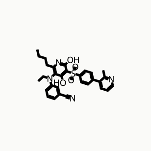 CCCCc1nc(O)c(S(=O)(=O)c2ccc(-c3cccnc3C)cc2)c(O)c1N(CC)c1cccc(C#N)c1